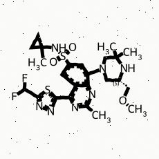 COC[C@@H]1CN(c2cc(S(=O)(=O)NC3(C)CC3)cc3c(-c4nnc(C(F)F)s4)nc(C)nc23)CC(C)(C)N1